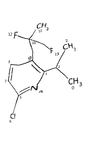 CC(C)c1nc(Cl)ccc1C(C)(F)F